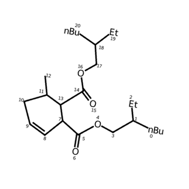 CCCCC(CC)COC(=O)C1C=CCC(C)C1C(=O)OCC(CC)CCCC